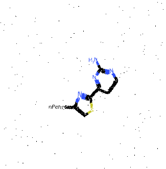 CCCCCc1csc(-c2ccnc(N)n2)n1